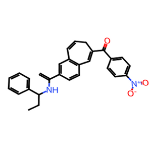 C=C(NC(CC)c1ccccc1)c1ccc2c(c1)C=CCC(C(=O)c1ccc([N+](=O)[O-])cc1)=C2